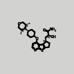 C[C@@H]1COC[C@H](C)N1[C@H]1CC[C@H](Oc2ccnc3sc4c(c23)[C@@H](C[C@H](O)C(N)=O)CC4)CC1